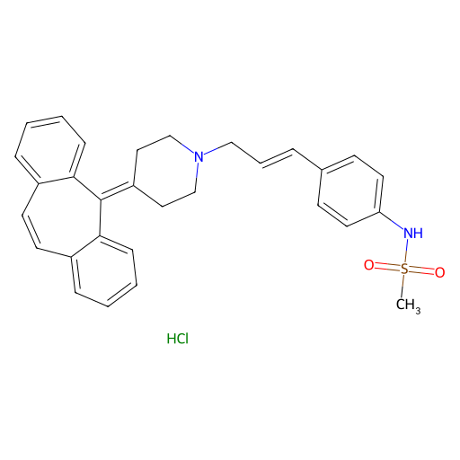 CS(=O)(=O)Nc1ccc(C=CCN2CCC(=C3c4ccccc4C=Cc4ccccc43)CC2)cc1.Cl